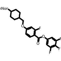 CCCCCCCCCC1CCC(COc2ccc(C(=O)Oc3cc(F)c(F)c(F)c3)c(F)c2)CC1